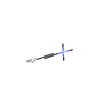 C[N+](C)(C)C#CC(=O)O